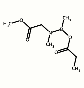 CCC(=O)OB(C)N(C)CC(=O)OC